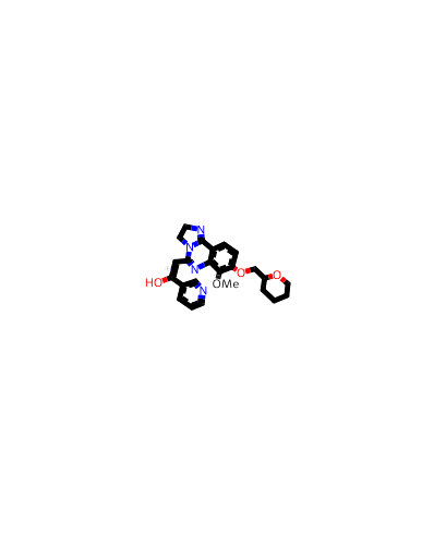 COc1c(OCC2CCCCO2)ccc2c1N=C(/C=C(/O)c1cccnc1)N1CCN=C21